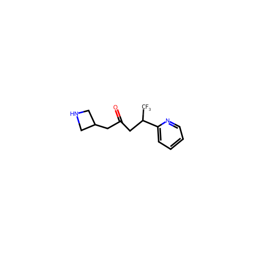 O=C(CC1CNC1)CC(c1ccccn1)C(F)(F)F